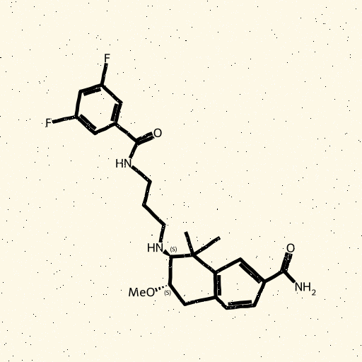 CO[C@H]1Cc2ccc(C(N)=O)cc2C(C)(C)[C@@H]1NCCCNC(=O)c1cc(F)cc(F)c1